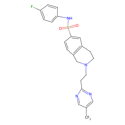 O=S(=O)(Nc1ccc(F)cc1)c1ccc2c(c1)CCN(CCc1ncc(C(F)(F)F)cn1)C2